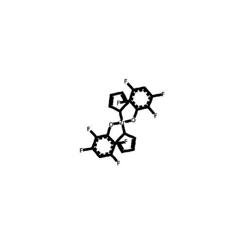 Fc1cc(F)c(F)c([O][Zr]([O]c2c(F)c(F)cc(F)c2F)([CH]2C=CC=C2)[CH]2C=CC=C2)c1F